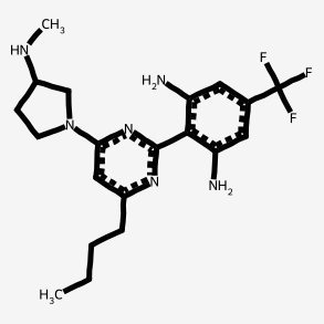 CCCCc1cc(N2CCC(NC)C2)nc(-c2c(N)cc(C(F)(F)F)cc2N)n1